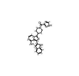 Nc1nccn2c(C3CCN(C(=O)c4nc[nH]n4)CC3)nc(-c3cc4ccccc4[nH]3)c12